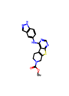 CC(C)(C)OC(=O)N1CCc2c(sc3ncnc(Nc4ccc5[nH]ncc5c4)c23)C1